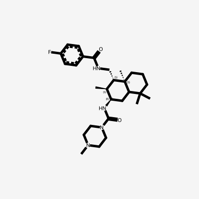 C[C@@H]1[C@H](NC(=O)N2CCN(C)CC2)CC2C(C)(C)CCC[C@]2(C)[C@H]1CNC(=O)c1ccc(F)cc1